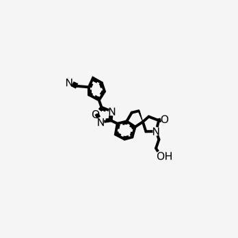 N#Cc1cccc(-c2nc(-c3cccc4c3CC[C@]43CC(=O)N(CCO)C3)no2)c1